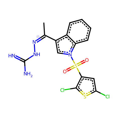 C/C(=N/NC(=N)N)c1cn(S(=O)(=O)c2cc(Cl)sc2Cl)c2ccccc12